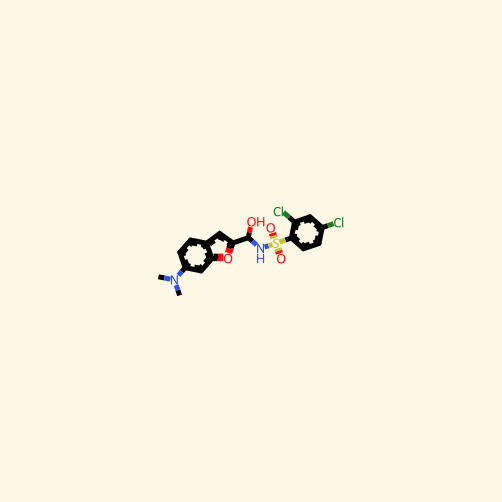 CN(C)c1ccc2cc(C(O)NS(=O)(=O)c3ccc(Cl)cc3Cl)oc2c1